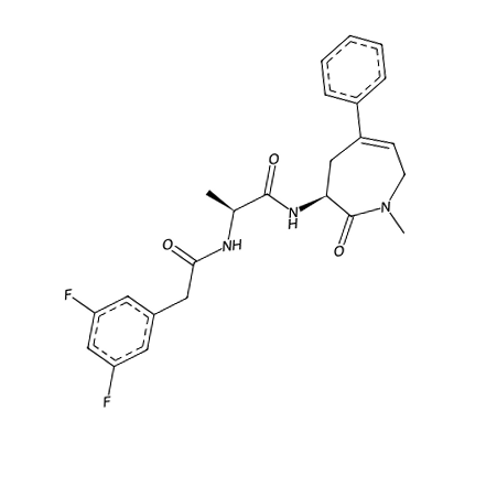 C[C@H](NC(=O)Cc1cc(F)cc(F)c1)C(=O)N[C@H]1CC(c2ccccc2)=CCN(C)C1=O